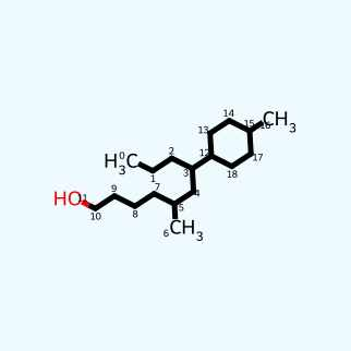 CCCC(CC(C)CCCCO)C1CCC(C)CC1